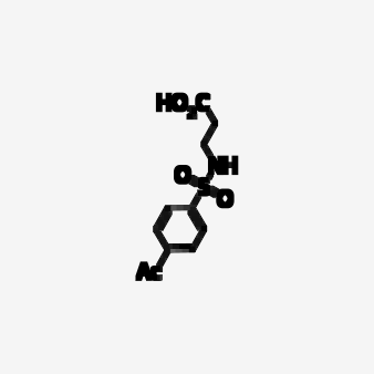 CC(=O)c1ccc(S(=O)(=O)NCCC(=O)O)cc1